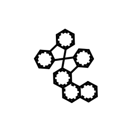 c1ccc2c(c1)-c1ccccc1C21c2ccccc2-c2c1ccc1ccc3ccccc3c21